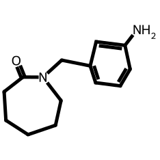 Nc1cccc(CN2CCCCCC2=O)c1